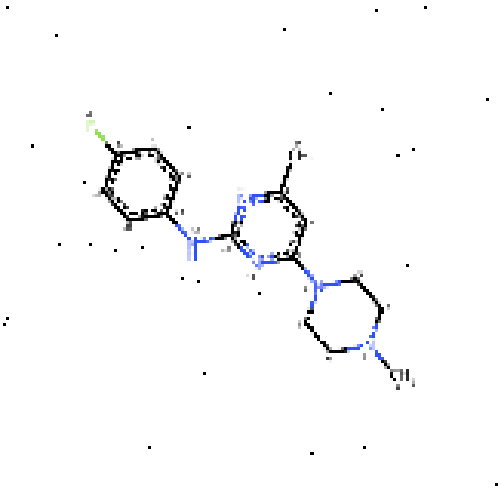 Cc1cc(N2CCN(C)CC2)nc(Nc2ccc(F)cc2)n1